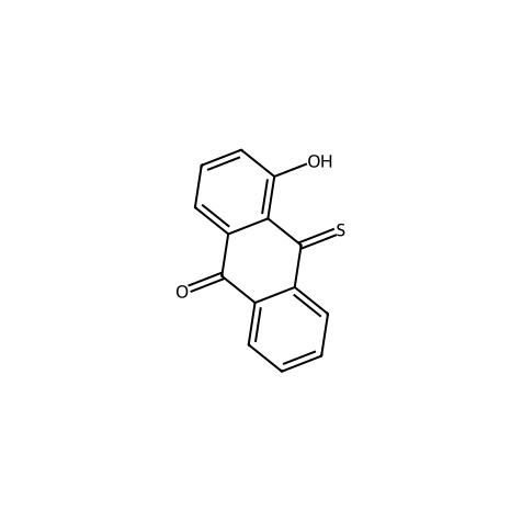 O=C1c2ccccc2C(=S)c2c(O)cccc21